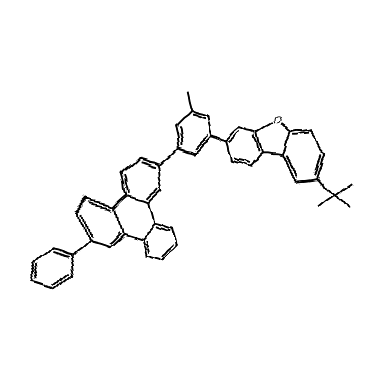 Cc1cc(-c2ccc3c(c2)oc2ccc(C(C)(C)C)cc23)cc(-c2ccc3c4ccc(-c5ccccc5)cc4c4ccccc4c3c2)c1